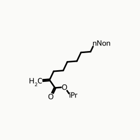 C=C(CCCCCCCCCCCCCCC)C(=O)OC(C)C